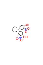 O=[N+]([O-])c1cc(C2(c3ccc(O)c([N+](=O)[O-])c3)CCCCCC2)ccc1O